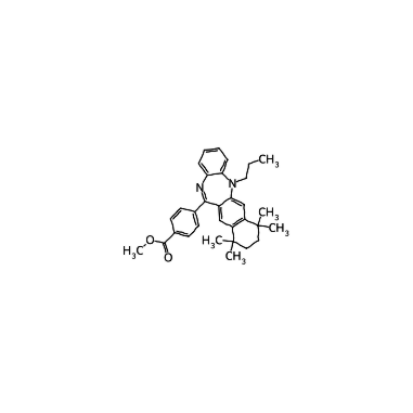 CCCN1c2ccccc2N=C(c2ccc(C(=O)OC)cc2)c2cc3c(cc21)C(C)(C)CCC3(C)C